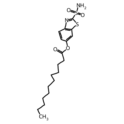 CCCCCCCCCCCC(=O)Oc1ccc2nc(S(N)(=O)=O)sc2c1